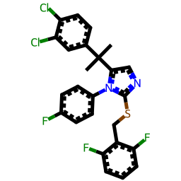 CC(C)(c1ccc(Cl)c(Cl)c1)c1cnc(SCc2c(F)cccc2F)n1-c1ccc(F)cc1